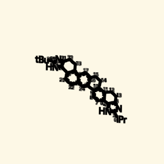 CC(C)c1nc2c([nH]1)-c1ccc3c(c1CC2)CCc1cc2c4c(ccc2cc1-3)-c1[nH]c(C(C)(C)C)nc1CC4